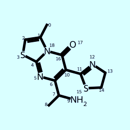 Cc1csc2nc(C(C)N)c(C3=NCCS3)c(=O)n12